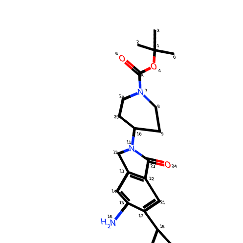 CC(C)(C)OC(=O)N1CCC(N2Cc3cc(N)c(C4CC4)cc3C2=O)CC1